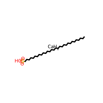 CCCCCCCCCCCCCCCCCCCCCCCCCCCCCCS(=O)(=O)O.[CaH2]